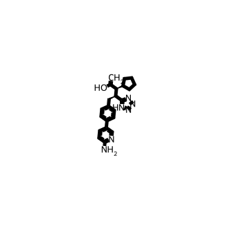 C=C(O)[C@@H](C1CCCC1)[C@H](Cc1ccc(-c2ccc(N)nc2)cc1)c1nnn[nH]1